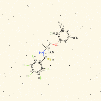 C[C@@](C#N)(COc1cc(C#N)cc(C(F)(F)F)c1Cl)NC(=S)c1c(F)c(F)c(F)c(F)c1F